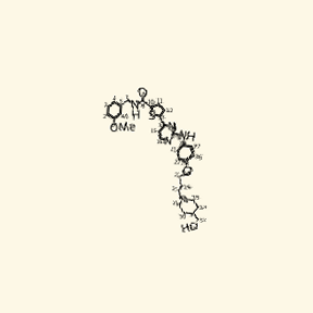 COc1cccc(CNC(=O)c2ccc(-c3ccnc(Nc4ccc(OCCCN5CCC(CO)CC5)cc4)n3)s2)c1